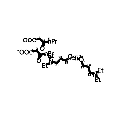 CCCC(=O)CC(=O)[O-].CCCC(=O)CC(=O)[O-].CCN(CC)CCC[O][Ti+2][O]CCCN(CC)CC